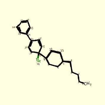 CCCCCC1CCC(C2(Br)C=CC(c3ccccc3)=CC2)CC1